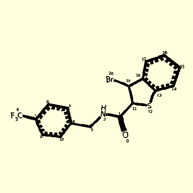 O=C(NCc1ccc(C(F)(F)F)cc1)C1Sc2ccccc2C1Br